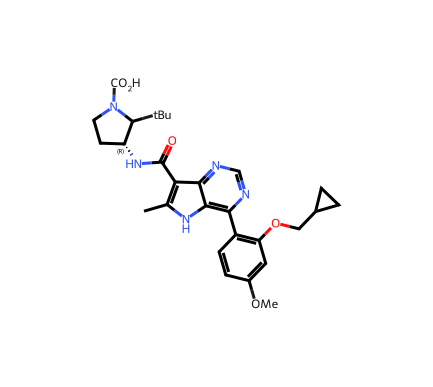 COc1ccc(-c2ncnc3c(C(=O)N[C@@H]4CCN(C(=O)O)C4C(C)(C)C)c(C)[nH]c23)c(OCC2CC2)c1